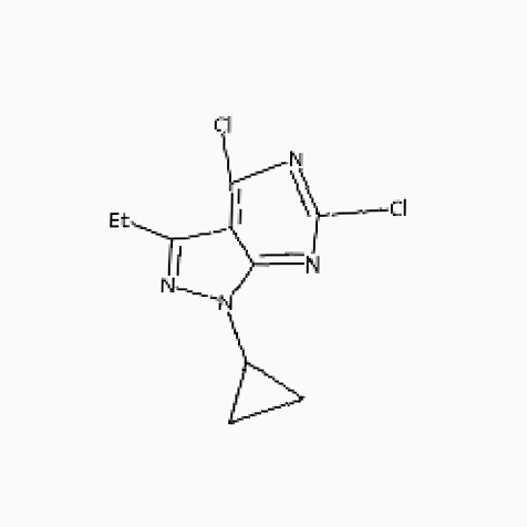 CCc1nn(C2CC2)c2nc(Cl)nc(Cl)c12